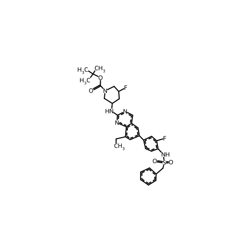 CCc1cc(-c2ccc(NS(=O)(=O)Cc3ccccc3)c(F)c2)cc2cnc(NC3CC(F)CN(C(=O)OC(C)(C)C)C3)nc12